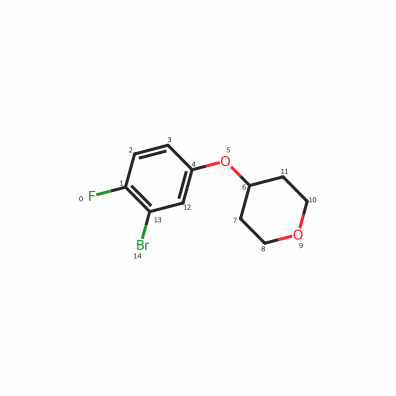 Fc1ccc(OC2CCOCC2)cc1Br